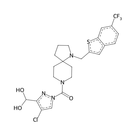 O=C(N1CCC2(CCCN2Cc2cc3ccc(C(F)(F)F)cc3s2)CC1)n1cc(Cl)c(C(O)O)n1